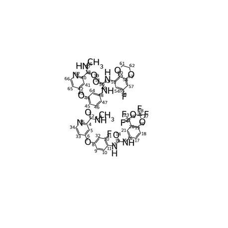 CNC(=O)c1cc(Oc2ccc(NC(=O)Nc3ccc4c(c3)C(F)(F)OC(F)(F)O4)c(F)c2)ccn1.CNC(=O)c1cc(Oc2cccc(NC(=O)Nc3cc(F)cc4c3OCCO4)c2)ccn1